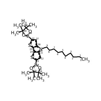 CCCCCCCCCCn1c2cc(B3OC(C)(C)C(C)(C)O3)sc2c2sc(B3OC(C)(C)C(C)(C)O3)cc21